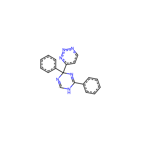 [C]1=NC(c2ccccc2)(c2ccnnn2)N=C(c2ccccc2)N1